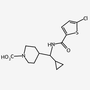 O=C(NC(C1CC1)C1CCN(C(=O)O)CC1)c1ccc(Cl)s1